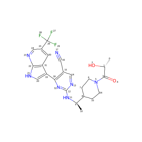 C[C@@H](O)C(=O)N1CCC([C@@H](C)Nc2ncc(C#N)c(-c3c[nH]c4ncc(C(F)(F)F)cc34)n2)CC1